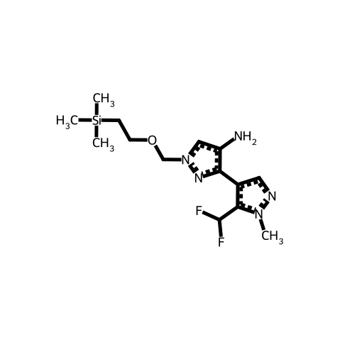 Cn1ncc(-c2nn(COCC[Si](C)(C)C)cc2N)c1C(F)F